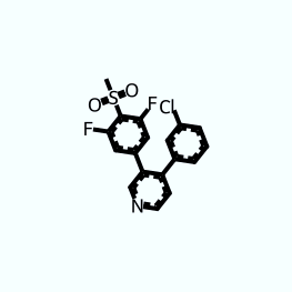 CS(=O)(=O)c1c(F)cc(-c2cnccc2-c2cccc(Cl)c2)cc1F